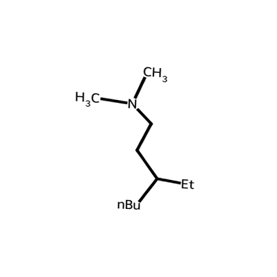 CCCCC(CC)CCN(C)C